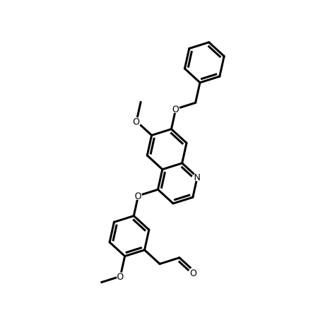 COc1ccc(Oc2ccnc3cc(OCc4ccccc4)c(OC)cc23)cc1CC=O